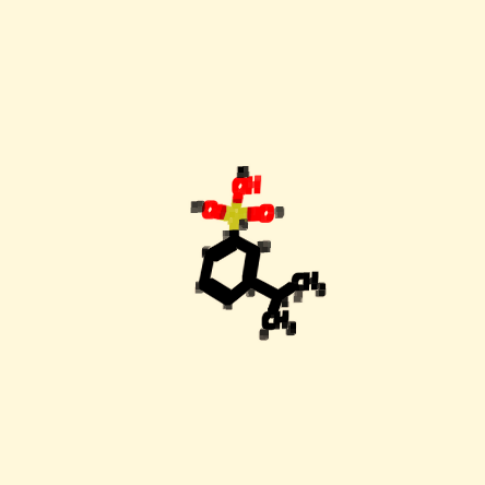 CC(C)c1cccc(S(=O)(=O)O)c1